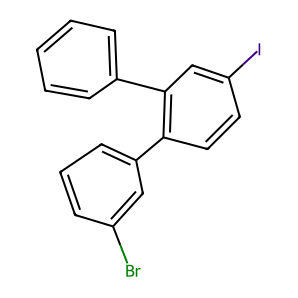 Brc1cccc(-c2ccc(I)cc2-c2ccccc2)c1